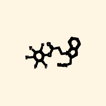 CNCc1cc2ccccc2n1CCC(=O)Oc1c(F)c(F)c(F)c(F)c1F